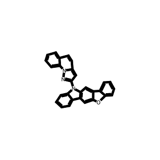 c1ccc2c(c1)ccc1cc(-n3c4ccccc4c4cc5oc6ccccc6c5cc43)nn12